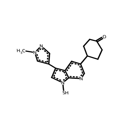 Cn1cc(-c2cn(S)c3ncc(C4CCC(=O)CC4)cc23)cn1